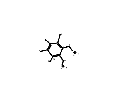 Cc1c(C)c(C)c(CN)c(CN)c1C